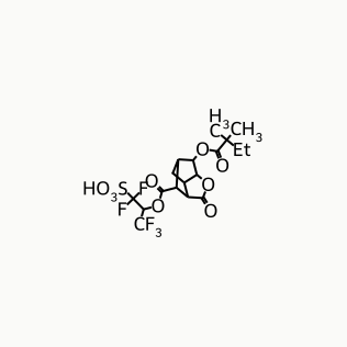 CCC(C)(C)C(=O)OC1C2CC3C1OC(=O)C3C2C(=O)OC(C(F)(F)F)C(F)(F)S(=O)(=O)O